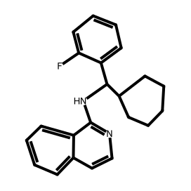 Fc1ccccc1C(Nc1nccc2ccccc12)C1CCCCC1